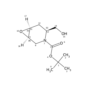 CC(C)(C)OC(=O)N1C[C@H]2O[C@H]2C[C@H]1CO